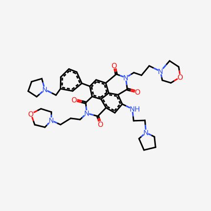 O=C1c2cc(-c3cccc(CN4CCCC4)c3)c3c4c(cc(NCCN5CCCC5)c(c24)C(=O)N1CCCN1CCOCC1)C(=O)N(CCCN1CCOCC1)C3=O